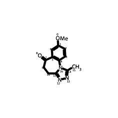 COc1ccc2c(c1)C(=O)CCc1nnc(C)n1-2